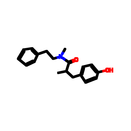 CC(Cc1ccc(O)cc1)C(=O)N(C)CCc1ccccc1